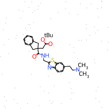 CN(C)CCc1ccc2nc(CNC(=O)C3(CC(=O)OC(C)(C)C)Cc4ccccc4C3)sc2c1